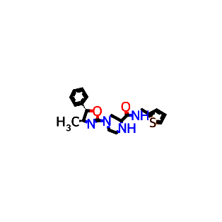 C[C@@H]1N=C(N2CCNC(C(=O)NCc3cccs3)C2)O[C@H]1c1ccccc1